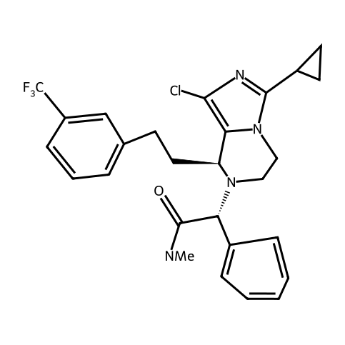 CNC(=O)[C@@H](c1ccccc1)N1CCn2c(C3CC3)nc(Cl)c2[C@@H]1CCc1cccc(C(F)(F)F)c1